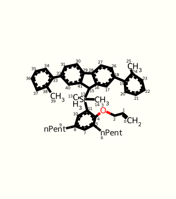 C=CCOc1c(CCCCC)cc(CCCCC)cc1[Si](C)(C)C1c2cc(-c3ccccc3C)ccc2-c2ccc(-c3ccccc3C)cc21